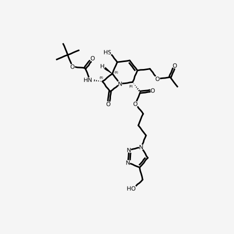 CC(=O)OCC1=CC(S)[C@H]2[C@@H](NC(=O)OC(C)(C)C)C(=O)N2[C@H]1C(=O)OCCCn1cc(CO)nn1